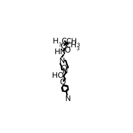 CC(C)(C)OC(=O)NCCN1CC2CN(CC(O)COc3ccc(C#N)cc3)CC(C1)O2